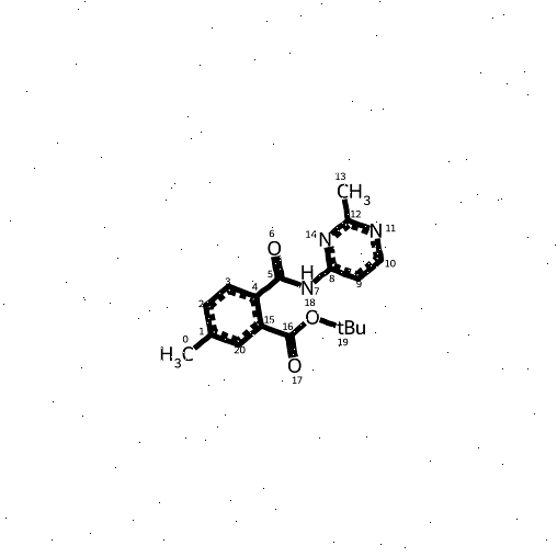 Cc1ccc(C(=O)Nc2ccnc(C)n2)c(C(=O)OC(C)(C)C)c1